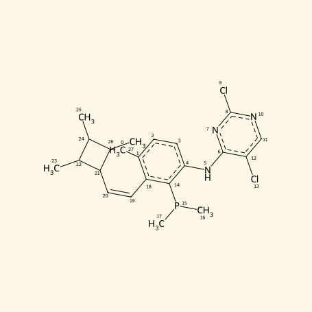 Cc1ccc(Nc2nc(Cl)ncc2Cl)c(P(C)C)c1/C=C\C1C(C)C(C)C1C